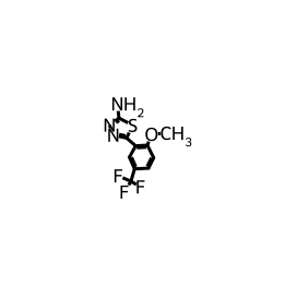 COc1ccc(C(F)(F)F)cc1-c1nnc(N)s1